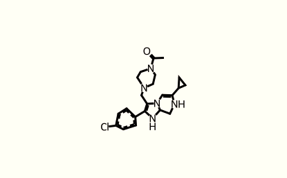 CC(=O)N1CCN(CC2=C(c3ccc(Cl)cc3)NC3CNC(C4CC4)=CN23)CC1